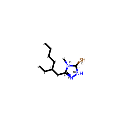 CCCCC(CC)CC1=NNC(S)N1C